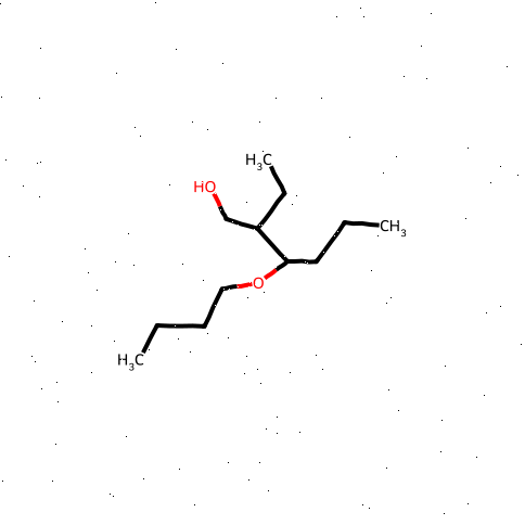 CCCCOC(CCC)C(CC)CO